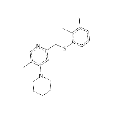 Cc1cnc(CSc2cccc(C)c2C)cc1N1CCCCC1